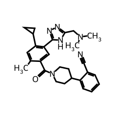 Cc1cc(C2CC2)c(-c2nnc(CN(C)C)[nH]2)cc1C(=O)N1CCC(c2ccccc2C#N)CC1